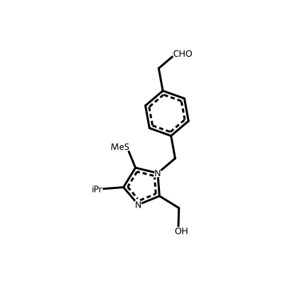 CSc1c(C(C)C)nc(CO)n1Cc1ccc(CC=O)cc1